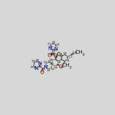 CC#Cc1cc(C)c(C2=C(OC(=O)c3ncccn3)CC3(CCN(C(=O)c4ncccn4)CC3)CC2=O)c(C)c1